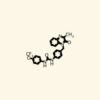 Cc1nc2ccccc2n(Cc2ccc(NC(=O)Nc3ccc(OC(F)(F)F)cc3)cc2)c1=O